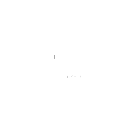 CCCCCP(C)c1ccccc1P1CCCC1C